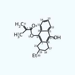 C=C(C)C(=O)Oc1c2c(c(O)c3ccccc13)CCC(CC)C2